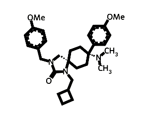 COc1ccc(CN2C[C@]3(CC[C@@](c4ccc(OC)cc4)(N(C)C)CC3)N(CC3CCC3)C2=O)cc1